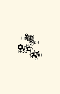 Cc1nc2c(ncn2[C@@H]2O[C@H](COP(=O)(O)OP(=O)(O)OP(=O)(O)O)[C@@H]3OC(O)(c4ccccc4)OC32)c(=O)[nH]1